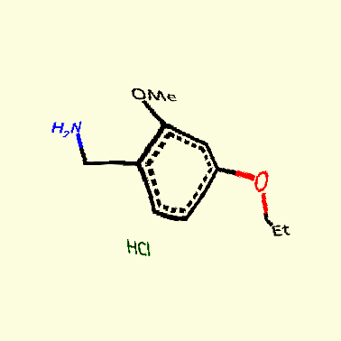 CCOc1ccc(CN)c(OC)c1.Cl